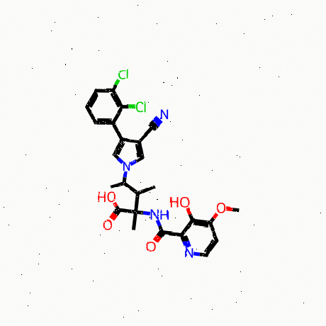 COc1ccnc(C(=O)NC(C)(C(=O)O)C(C)C(C)n2cc(C#N)c(-c3cccc(Cl)c3Cl)c2)c1O